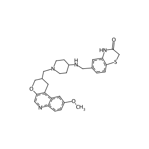 COc1ccc2ncc3c(c2c1)CC(CN1CCC(NCc2ccc4c(c2)NC(=O)CS4)CC1)CO3